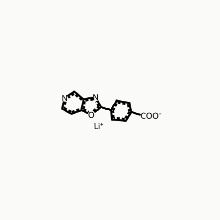 O=C([O-])c1ccc(-c2nc3cnccc3o2)cc1.[Li+]